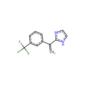 C=C(c1cccc(C(F)(F)F)c1)c1ncc[nH]1